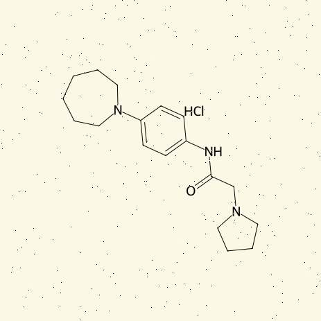 Cl.O=C(CN1CCCC1)Nc1ccc(N2CCCCCC2)cc1